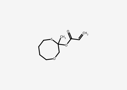 C=CC(=O)OC1(C)COCCCCS1